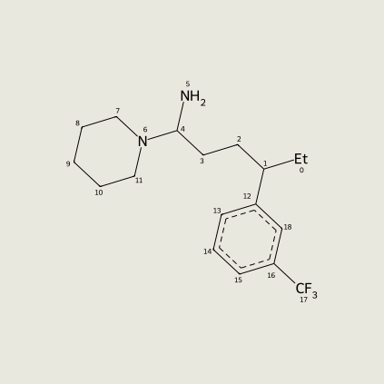 CCC(CCC(N)N1CCCCC1)c1cccc(C(F)(F)F)c1